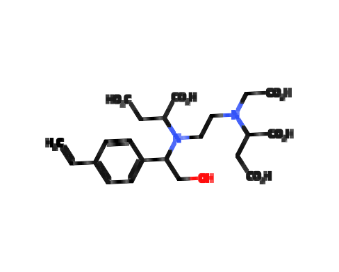 C=Cc1ccc(C(CO)N(CCN(CC(=O)O)C(CC(=O)O)C(=O)O)C(CC(=O)O)C(=O)O)cc1